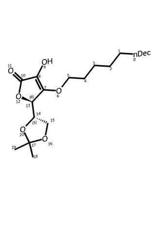 CCCCCCCCCCCCCCCOC1=C(O)C(=O)O[C@@H]1[C@@H]1COC(C)(C)O1